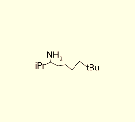 CC(C)C(N)CCCCC(C)(C)C